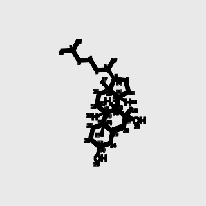 CC(C)CCCC(C)[C@H]1CC[C@H]2[C@H]3[C@H](CC[C@]12C)[C@@]1(C)CC[C@H](O)CC1=CC3(C)O